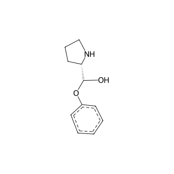 OC(Oc1ccccc1)[C@@H]1CCCN1